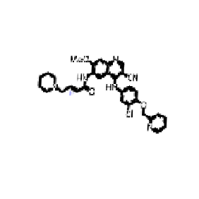 COc1cc2ncc(C#N)c(Nc3ccc(OCc4ccccn4)c(Cl)c3)c2cc1NC(=O)/C=C/CN1CCCCC1